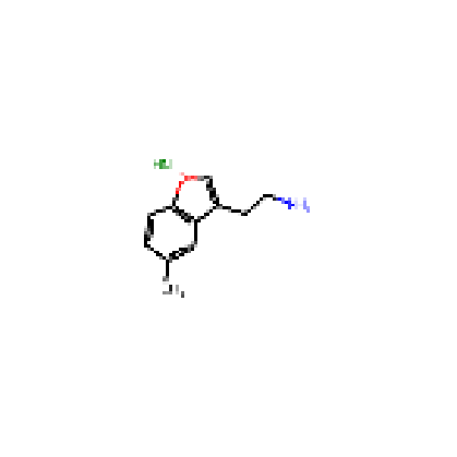 Cc1ccc2occ(CCN)c2c1.Cl